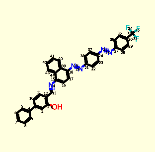 Oc1cc(-c2ccccc2)ccc1/C=N/c1ccc(/N=N/c2ccc(/N=N/c3ccc(C(F)(F)F)cc3)cc2)c2ccccc12